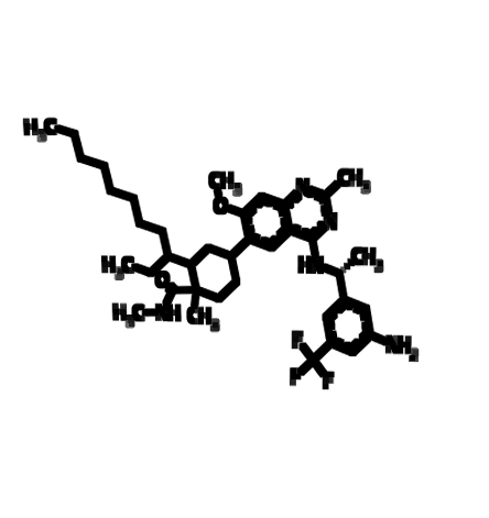 CCCCCCCCC(CC)C1CC(c2cc3c(N[C@H](C)c4cc(N)cc(C(F)(F)F)c4)nc(C)nc3cc2OC)CCC1(C)C(=O)NC